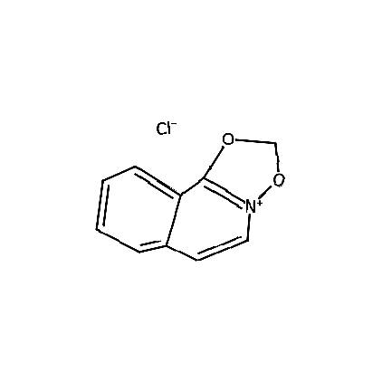 [Cl-].c1ccc2c3[n+](ccc2c1)OCO3